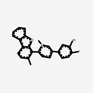 Cc1ccc2c(oc3ccccc32)c1-c1ccc(-c2ccc(F)c(C(C)C)c2)c[n+]1C